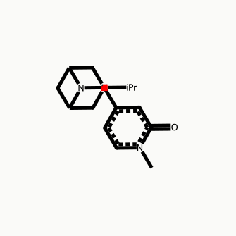 CC(C)N1CC2CC(C1)N2Cc1ccn(C)c(=O)c1